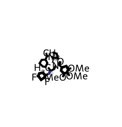 COc1cc(C(=O)N(C/C(C)=C/c2ccc(F)cc2F)C[C@@H]2CCCN2C(C)C2CCCCC2)cc(OC)c1OC